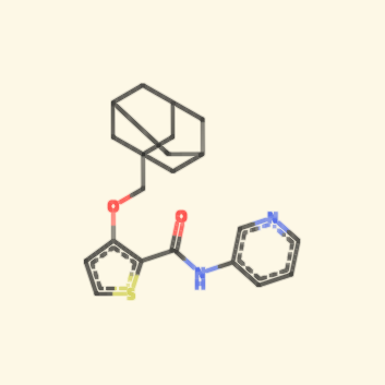 O=C(Nc1cccnc1)c1sccc1OCC12CC3CC(CC(C3)C1)C2